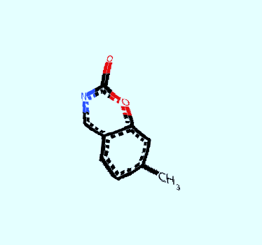 Cc1ccc2cnc(=O)oc2c1